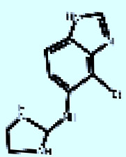 CCc1c(NC2NCCN2)ccc2[nH]cnc12